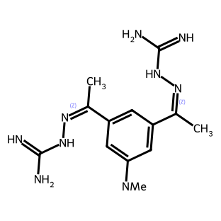 CNc1cc(/C(C)=N\NC(=N)N)cc(/C(C)=N\NC(=N)N)c1